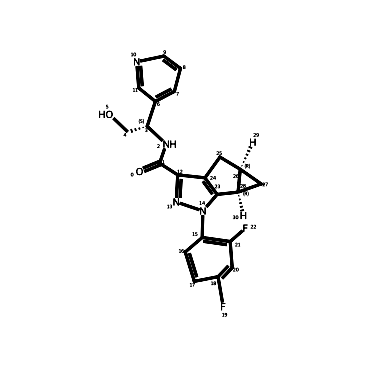 O=C(N[C@H](CO)c1cccnc1)c1nn(-c2ccc(F)cc2F)c2c1C[C@H]1C[C@@H]21